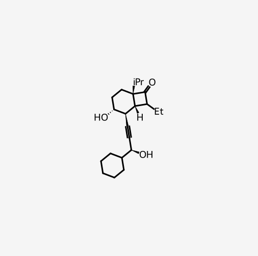 CCC1C(=O)[C@@]2(C(C)C)CC[C@@H](O)[C@H](C#C[C@@H](O)C3CCCCC3)[C@@H]12